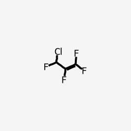 FC(F)=C(F)C(F)Cl